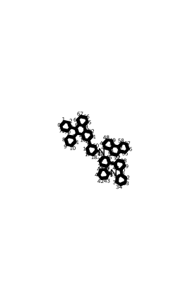 c1ccc(-c2c(-c3ccccc3)c3cc(-c4cccc(N(c5cccc(-c6cccc7c8ccccc8n(-c8ccccc8)c67)c5)c5cccc6c5ccc5ccccc56)c4)ccc3c3ccccc23)cc1